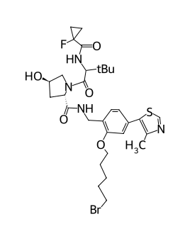 Cc1ncsc1-c1ccc(CNC(=O)[C@@H]2C[C@@H](O)CN2C(=O)C(NC(=O)C2(F)CC2)C(C)(C)C)c(OCCCCCBr)c1